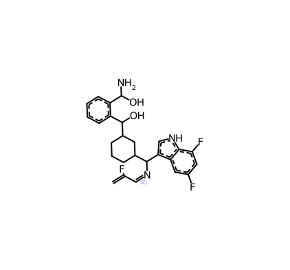 C=C(F)/C=N\C(c1c[nH]c2c(F)cc(F)cc12)C1CCCC(C(O)c2ccccc2C(N)O)C1